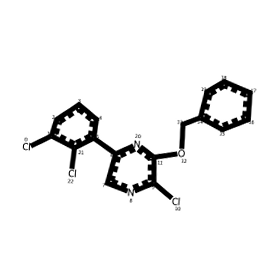 Clc1cccc(-c2cnc(Cl)c(OCc3ccccc3)n2)c1Cl